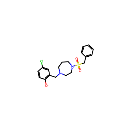 [O]c1ccc(Cl)cc1CN1CCCN(S(=O)(=O)Cc2ccccc2)CC1